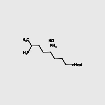 CCCCCCCCCCCCCC(C)P.Cl.N